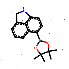 CC1(C)OB(c2ccc3c4c(cccc24)CN3)OC1(C)C